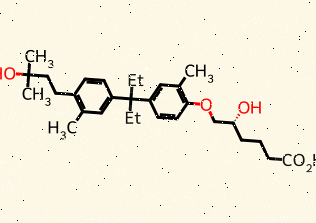 CCC(CC)(c1ccc(CCC(C)(C)O)c(C)c1)c1ccc(OC[C@H](O)CCCC(=O)O)c(C)c1